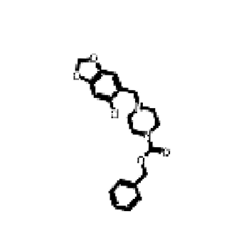 O=C(OCc1ccccc1)N1CCN(Cc2cc3c(cc2Cl)OCO3)CC1